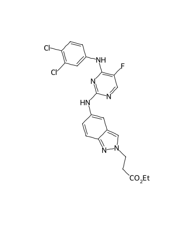 CCOC(=O)CCn1cc2cc(Nc3ncc(F)c(Nc4ccc(Cl)c(Cl)c4)n3)ccc2n1